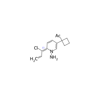 C=C/C(Cl)=C1/C=CC(C2(C(C)=O)CCC2)=CN1N